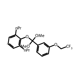 CCCc1c[c]cc(CCC)c1OC(OC)(OC)c1cccc(OCC(F)(F)F)c1